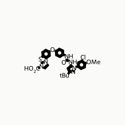 COc1ccc(-n2nc(C(C)(C)C)cc2NC(=O)Nc2ccc(Oc3ccc4c(c3)N3C=CN(C(=O)O)C3S4)cc2)cc1Cl